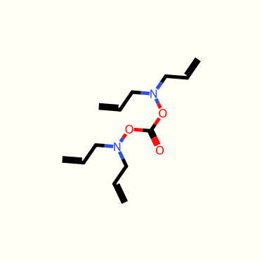 C=CCN(CC=C)OC(=O)ON(CC=C)CC=C